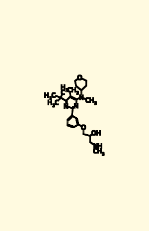 CNCC(O)COc1cccc(-c2nc(N(C)C3CCOCC3)c(C)c(C(C)(C)C)n2)c1